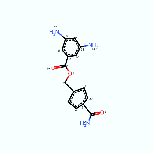 NC(=O)c1ccc(COC(=O)c2cc(N)cc(N)c2)cc1